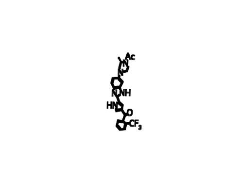 CC(=O)N1CCN(c2ccc3nc(-c4cc(C(=O)c5ccccc5C(F)(F)F)c[nH]4)[nH]c3c2)C[C@H]1C